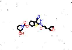 N#Cc1c(NC(=O)C=Cc2ccoc2)sc2c1CCC(OC(=O)N1CCCC(O)C1)C2